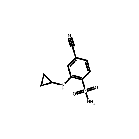 N#Cc1ccc(S(N)(=O)=O)c(NC2CC2)c1